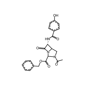 CC(=O)N1CC2[C@@H](NC(=O)c3ccc(O)cc3)C(=O)N2C1C(=O)OCc1ccccc1